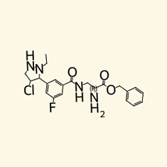 CCN1NCC(Cl)C1c1cc(F)cc(C(=O)NC[C@@H](N)C(=O)OCc2ccccc2)c1